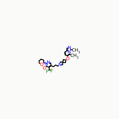 Cc1ncc2ccc(OC3CC4(C3)CN(CCCc3cnn(C5CCCCO5)c(=O)c3C(F)F)C4)c(C)n12